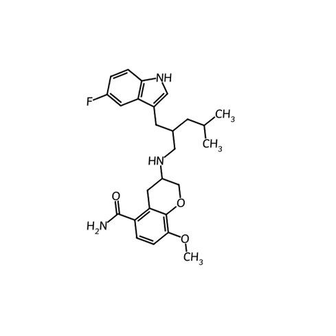 COc1ccc(C(N)=O)c2c1OCC(NCC(Cc1c[nH]c3ccc(F)cc13)CC(C)C)C2